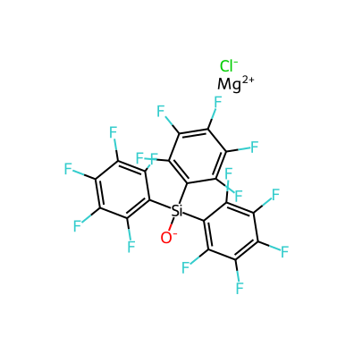 [Cl-].[Mg+2].[O-][Si](c1c(F)c(F)c(F)c(F)c1F)(c1c(F)c(F)c(F)c(F)c1F)c1c(F)c(F)c(F)c(F)c1F